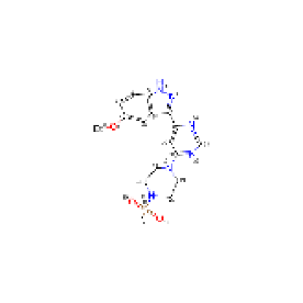 CCOc1ccc2[nH]nc(-c3cc(N4CCN(S(C)(=O)=O)CC4)ncn3)c2c1